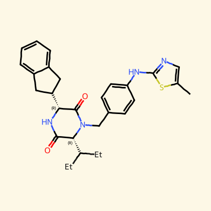 CCC(CC)[C@@H]1C(=O)N[C@H](C2Cc3ccccc3C2)C(=O)N1Cc1ccc(Nc2ncc(C)s2)cc1